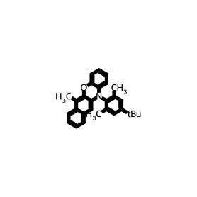 Cc1cc(C(C)(C)C)cc(C)c1N1c2ccccc2Oc2c1cc1ccccc1c2C